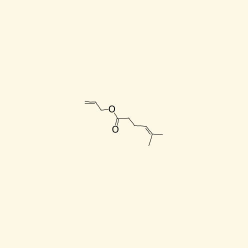 C=CCOC(=O)CCC=C(C)C